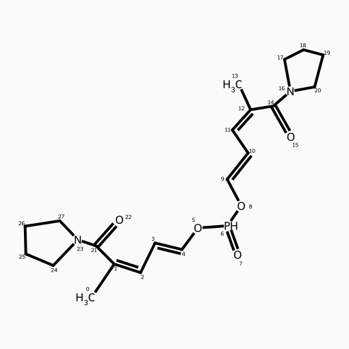 C/C(=C/C=C/O[PH](=O)O/C=C/C=C(/C)C(=O)N1CCCC1)C(=O)N1CCCC1